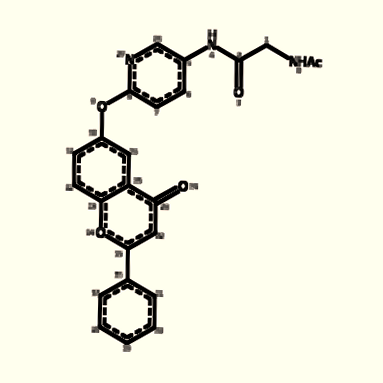 CC(=O)NCC(=O)Nc1ccc(Oc2ccc3oc(-c4ccccc4)cc(=O)c3c2)nc1